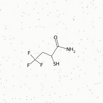 NC(=O)C(S)CC(F)(F)F